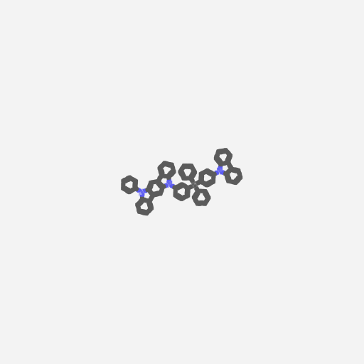 c1ccc(-n2c3ccccc3c3cc4c(cc32)c2ccccc2n4-c2cccc([Si](c3ccccc3)(c3ccccc3)c3ccc(-n4c5ccccc5c5ccccc54)cc3)c2)cc1